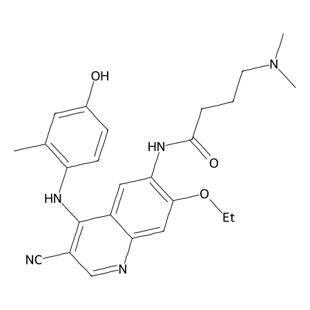 CCOc1cc2ncc(C#N)c(Nc3ccc(O)cc3C)c2cc1NC(=O)CCCN(C)C